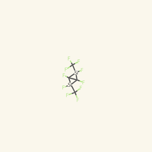 FC(F)(F)[Si]1(F)C2(F)C1(F)[Si]2(F)C(F)(F)F